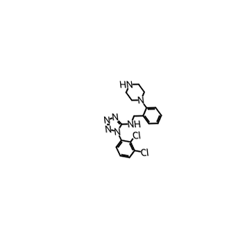 Clc1cccc(-n2nnnc2NCc2ccccc2N2CCNCC2)c1Cl